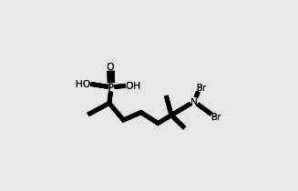 CC(CCCC(C)(C)N(Br)Br)P(=O)(O)O